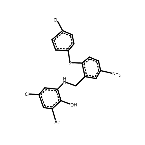 CC(=O)c1cc(Cl)cc(NCc2cc(N)ccc2Sc2ccc(Cl)cc2)c1O